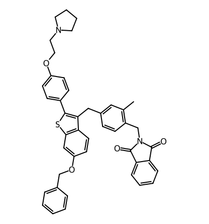 Cc1cc(Cc2c(-c3ccc(OCCN4CCCC4)cc3)sc3cc(OCc4ccccc4)ccc23)ccc1CN1C(=O)c2ccccc2C1=O